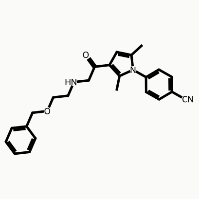 Cc1cc(C(=O)CNCCOCc2ccccc2)c(C)n1-c1ccc(C#N)cc1